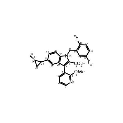 COc1ncccc1-c1c(C(=O)O)n(Cc2cc(F)ccc2F)c2ccc(C3C[C@H]3C)cc12